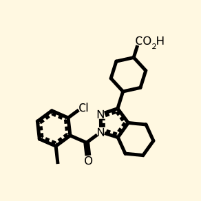 Cc1cccc(Cl)c1C(=O)n1nc(C2CCC(C(=O)O)CC2)c2c1CCCC2